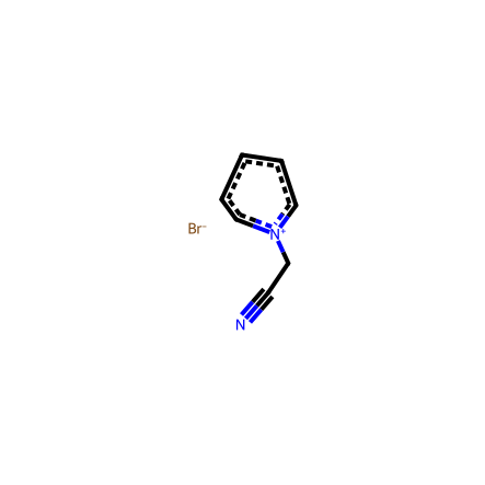 N#CC[n+]1ccccc1.[Br-]